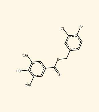 CC(C)(C)c1cc(C(=S)SCc2ccc(Br)c(Cl)c2)cc(C(C)(C)C)c1O